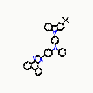 CC(C)(C)c1ccc2c(c1)c1ccccc1n2-c1ccc(N(c2ccccc2)c2ccc(-c3cnc4c5ccccc5c5ccccc5c4n3)cc2)cc1